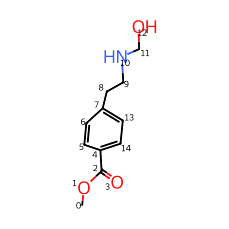 COC(=O)c1ccc(CCNCO)cc1